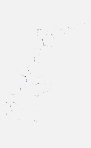 CCCCCCCCCCCCCCCC(=O)N1CCCC1C(=O)NCCCCC(NC(=O)C1CCCN1C(=O)CCCCCCCCCCCCCCC)C(=O)NCCNC(=O)C(N)CCC(=O)O